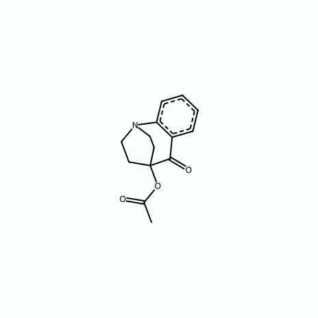 CC(=O)OC12CCN(CC1)c1ccccc1C2=O